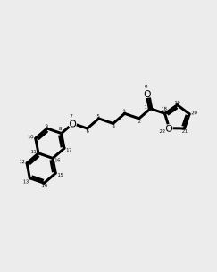 O=C(CCCCCOc1ccc2ccccc2c1)c1ccco1